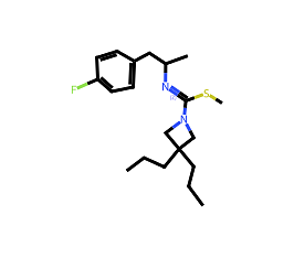 CCCC1(CCC)CN(/C(=N/C(C)Cc2ccc(F)cc2)SC)C1